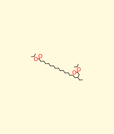 CCC(CCCCCCCCCCCCCCCC(=O)OC(C)C)CC(=O)OC(C)C